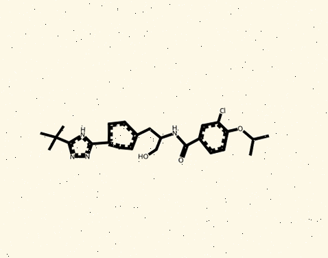 CC(C)Oc1ccc(C(=O)NC(CO)Cc2ccc(-c3nnc(C(C)(C)C)[nH]3)cc2)cc1Cl